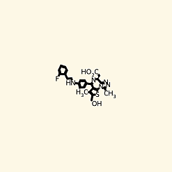 Cc1c(CO)sc2c1C(c1ccc(NCCc3ccccc3F)cc1)=N[C@@H](CC(=O)O)c1nnc(C)n1-2